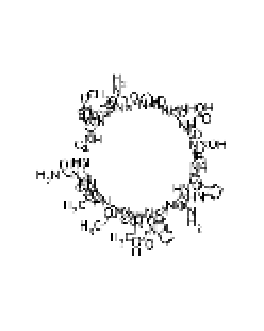 CCCC[C@H]1C(=O)N(C)[C@@H](CCCC)C(=O)N[C@@H](CC(C)C)C(=O)N[C@H](C(=O)NCC(N)=O)CNCC(=O)N[C@@H](Cc2ccc(OC)cc2)C(=O)N(C)[C@@H](C)C(=O)N[C@@H](CC(N)=O)C(=O)N2CCC[C@H]2C(=O)N[C@@H](CN)C(=O)N[C@@H](CCC(=O)O)C(=O)N2C[C@H](O)C[C@H]2C(=O)N[C@@H](Cc2c[nH]c3ccccc23)C(=O)N[C@@H](CCN)C(=O)N[C@@H](Cc2cn(CC(=O)O)c3ccccc23)C(=O)N1C